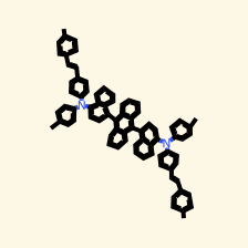 Cc1ccc(/C=C/c2ccc(N(c3ccc(C)cc3)c3ccc(-c4c5ccccc5c(-c5ccc(N(c6ccc(C)cc6)c6ccc(/C=C/c7ccc(C)cc7)cc6)c6ccccc56)c5ccccc45)c4ccccc34)cc2)cc1